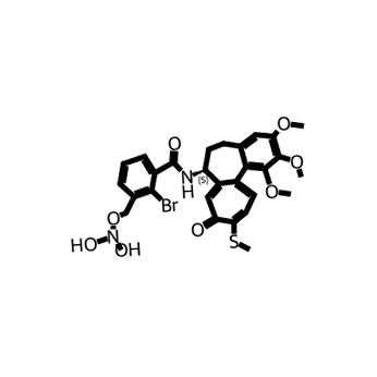 COc1cc2c(c(OC)c1OC)-c1ccc(SC)c(=O)cc1[C@@H](NC(=O)c1cccc(CON(O)O)c1Br)CC2